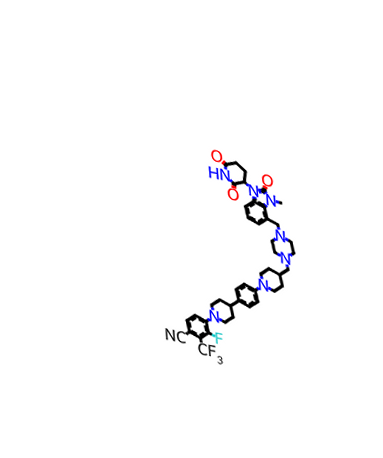 Cn1c(=O)n(C2CCC(=O)NC2=O)c2cccc(CN3CCN(CC4CCN(c5ccc(C6CCN(c7ccc(C#N)c(C(F)(F)F)c7F)CC6)cc5)CC4)CC3)c21